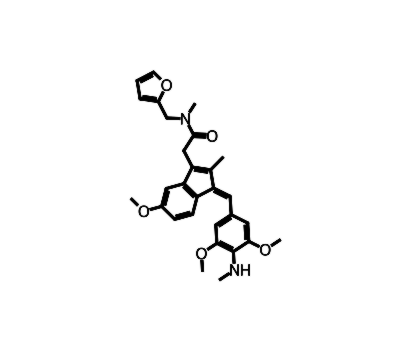 CNc1c(OC)cc(/C=C2/C(C)=C(CC(=O)N(C)Cc3ccco3)c3cc(OC)ccc32)cc1OC